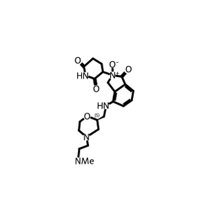 CNCCN1CCO[C@@H](CNc2cccc3c2C[N+]([O-])(C2CCC(=O)NC2=O)C3=O)C1